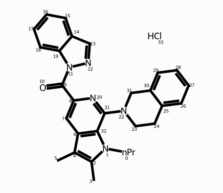 CCCn1c(C)c(C)c2cc(C(=O)n3ncc4ccccc43)nc(N3CCc4ccccc4C3)c21.Cl